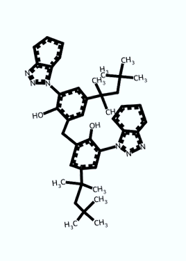 CC(C)(C)CC(C)(C)c1cc(Cc2cc(C(C)(C)CC(C)(C)C)cc(-n3nnc4ccccc43)c2O)c(O)c(-n2nnc3ccccc32)c1